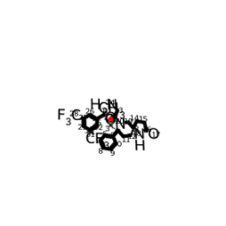 C[C@@H](OC[C@@]1(c2ccccc2)CC[C@]2(CCC(=O)N2)CN1C(=O)CN)c1cc(C(F)(F)F)cc(C(F)(F)F)c1